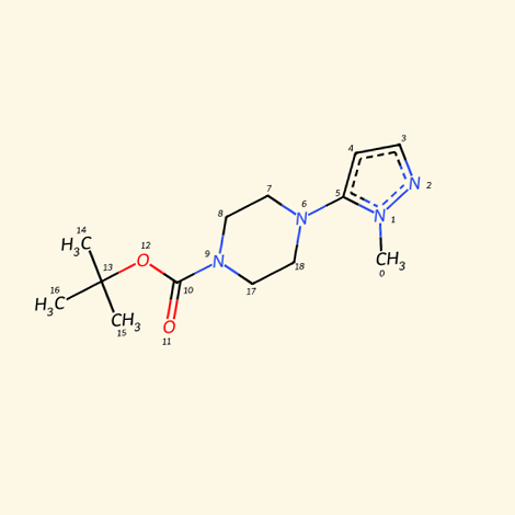 Cn1nccc1N1CCN(C(=O)OC(C)(C)C)CC1